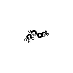 O=C1CCC(n2nc(-c3cccc(CS(=O)(=O)Cl)c3)ccc2=O)C(=O)N1